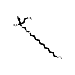 CCCCCCCCCCCCSSCSC(C)(C#N)CCC